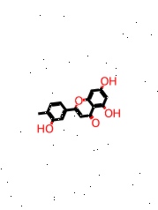 Cc1ccc(-c2cc(=O)c3c(O)cc(O)cc3o2)cc1O